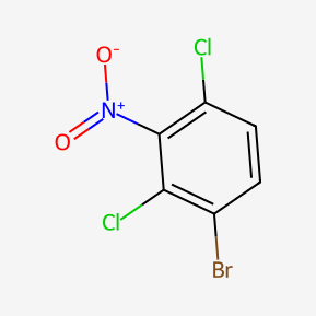 O=[N+]([O-])c1c(Cl)ccc(Br)c1Cl